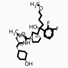 CNC[C@H](C[C@H]1CC[C@@H](O)CC1)NC(=O)N1CCC[C@@H]([C@@](O)(CCCCOC)c2cccc(F)c2F)C1